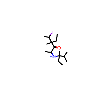 CCC(C)(NC(C)C(=O)C(C)(CC)C(C)I)C(C)C